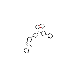 c1ccc(-c2ccc(N(c3ccccc3)c3ccc(-c4ccc5oc6c7ccccc7ccc6c5c4)cc3)c(-c3ccccc3)c2)cc1